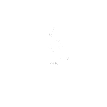 CCOc1cc(C)c(C(Br)C=O)c(C)c1